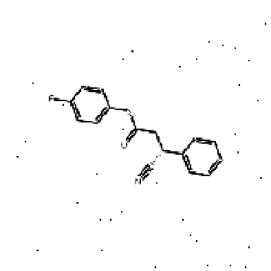 N#C[C@H](CC(=O)Sc1ccc(F)cc1)c1ccccc1